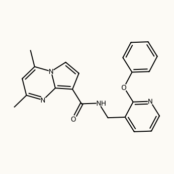 Cc1cc(C)n2ccc(C(=O)NCc3cccnc3Oc3ccccc3)c2n1